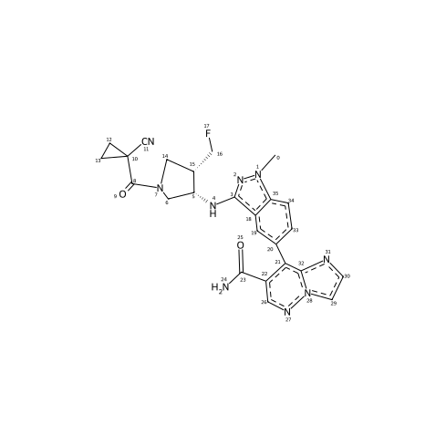 Cn1nc(N[C@@H]2CN(C(=O)C3(C#N)CC3)C[C@@H]2CF)c2cc(-c3c(C(N)=O)cnn4ccnc34)ccc21